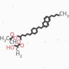 C=C(C)C(=O)OCC(CCCCC1CCC(CCC2=CC=C3C=C(CCCCC)C=CC3C2)CC1)COC(=O)C(=C)CO